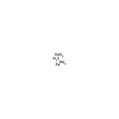 P.S.[AsH3].[Fe]